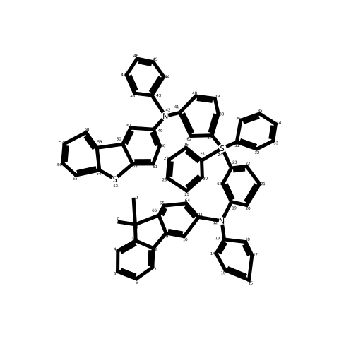 CC1(C)c2ccccc2-c2cc(N(c3ccccc3)c3cccc([Si](c4ccccc4)(c4ccccc4)c4cccc(N(c5ccccc5)c5ccc6sc7ccccc7c6c5)c4)c3)ccc21